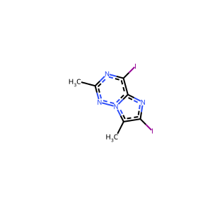 Cc1nc(I)c2nc(I)c(C)n2n1